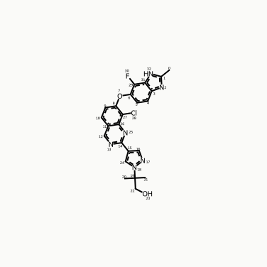 Cc1nc2ccc(Oc3ccc4cnc(-c5cnn(C(C)(C)CO)c5)nc4c3Cl)c(F)c2[nH]1